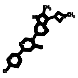 Cc1[nH]c2cc(-n3cnc(-c4ccc(Cl)cc4)cc3=O)ccc2c1C1CN(C)C1